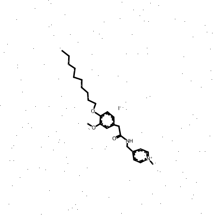 CCCCCCCCCCOc1ccc(CC(=O)NCc2cc[n+](C)cc2)cc1OC.[I-]